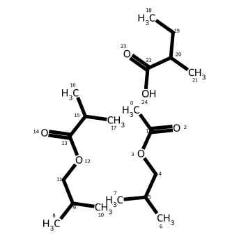 CC(=O)OCC(C)C.CC(C)COC(=O)C(C)C.CCC(C)C(=O)O